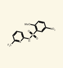 COc1ccc([N+](=O)[O-])cc1S(=O)(=O)Nc1cccc(C(F)(F)F)n1